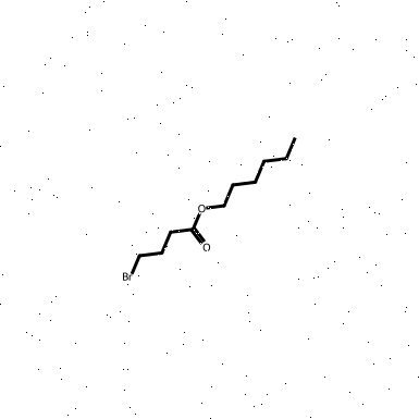 CCCCCCOC(=O)CCCBr